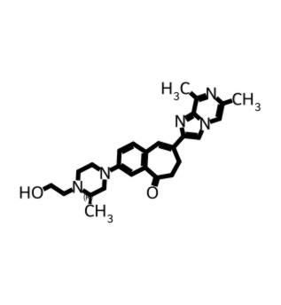 Cc1cn2cc(C3=Cc4ccc(N5CCN(CCO)[C@H](C)C5)cc4C(=O)CC3)nc2c(C)n1